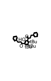 CC(C)(C)c1c(C(=O)CCc2ccccc2)c(O)c(C(=O)CCc2ccccc2)c(C(C)(C)C)c1C(C)(C)C